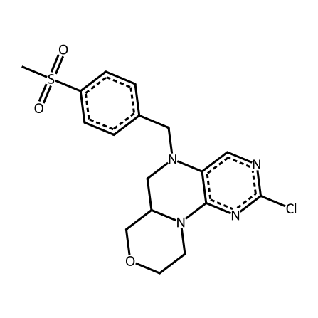 CS(=O)(=O)c1ccc(CN2CC3COCCN3c3nc(Cl)ncc32)cc1